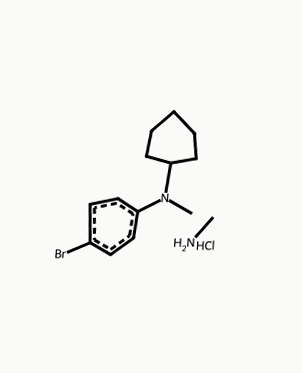 CN.CN(c1ccc(Br)cc1)C1CCCCC1.Cl